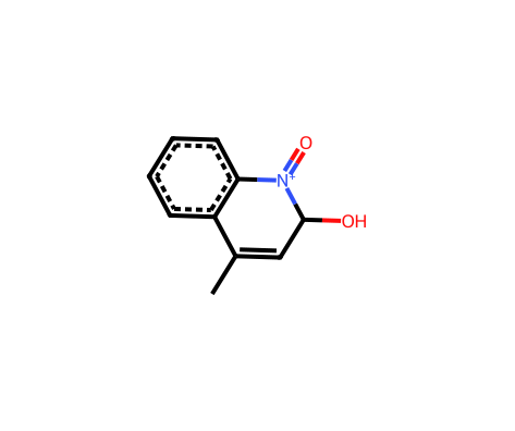 CC1=CC(O)[N+](=O)c2ccccc21